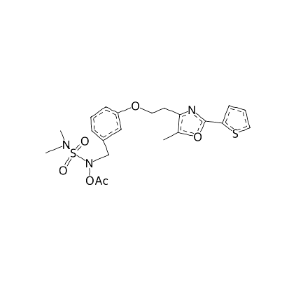 CC(=O)ON(Cc1cccc(OCCc2nc(-c3cccs3)oc2C)c1)S(=O)(=O)N(C)C